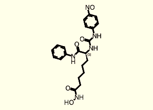 O=Nc1ccc(NC(=O)N[C@@H](CCCCCC(=O)NO)C(=O)Nc2ccccc2)cc1